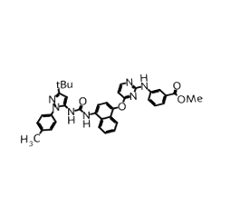 COC(=O)c1cccc(Nc2nccc(Oc3ccc(NC(=O)Nc4cc(C(C)(C)C)nn4-c4ccc(C)cc4)c4ccccc34)n2)c1